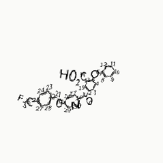 O=C(c1ccc(Oc2ccccc2)c(C(=O)O)c1)c1ccc(OCc2ccc(C(F)(F)F)cc2)cn1